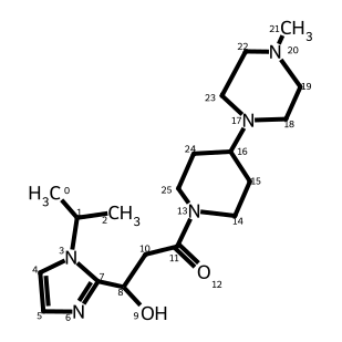 CC(C)n1ccnc1C(O)CC(=O)N1CCC(N2CCN(C)CC2)CC1